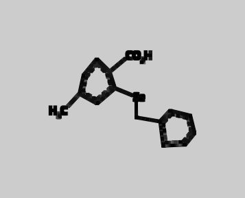 Cc1ccc(C(=O)O)c([Se]Cc2ccccc2)c1